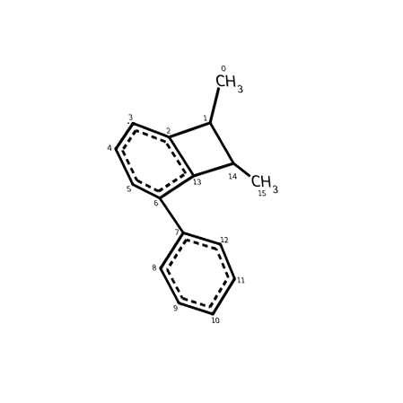 CC1c2[c]ccc(-c3ccccc3)c2C1C